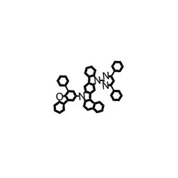 c1ccc(-c2cc(-c3ccccc3)nc(-n3c4ccccc4c4cc5c(cc43)c3c4ccccc4ccc3n5-c3cc(-c4ccccc4)c4oc5ccccc5c4c3)n2)cc1